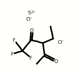 CCC(C(C)=O)C(=O)C(F)(F)F.[Cl-].[Cl-].[Ti+2]